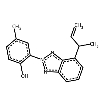 C=CC(C)c1cccc2nn(-c3cc(C)ccc3O)nc12